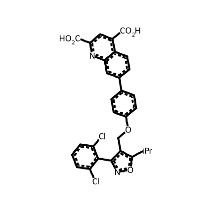 CC(C)c1onc(-c2c(Cl)cccc2Cl)c1COc1ccc(-c2ccc3c(C(=O)O)cc(C(=O)O)nc3c2)cc1